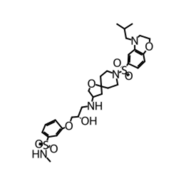 CNS(=O)(=O)c1cccc(OC[C@@H](O)CNC2COC3(CCN(S(=O)(=O)c4ccc5c(c4)N(CC(C)C)CCO5)CC3)C2)c1